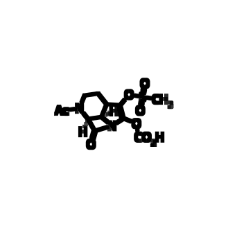 CC(=O)N1CCC2C(OS(C)(=O)=O)=C(OC(=O)O)N3C(=O)[C@@H]1[C@@H]23